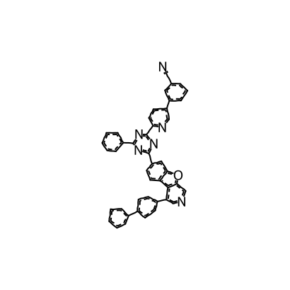 N#Cc1cccc(-c2ccc(-c3nc(-c4ccccc4)nc(-c4ccc5c(c4)oc4cncc(-c6ccc(-c7ccccc7)cc6)c45)n3)nc2)c1